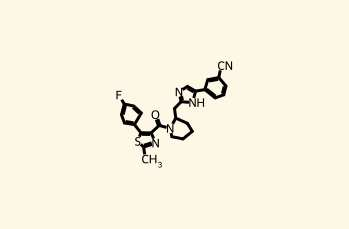 Cc1nc(C(=O)N2CCCCC2Cc2ncc(-c3cccc(C#N)c3)[nH]2)c(-c2ccc(F)cc2)s1